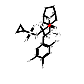 CC(C)(NS(=O)(=O)C1CC1)C(=O)N1C2CCC1CC([C@H](N)Cc1cc(F)c(F)cc1F)C2